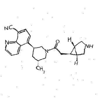 C[C@@H]1C[C@@H](c2ccc(C#N)c3ncccc23)CN(C(=O)C[C@H]2[C@@H]3CNC[C@@H]32)C1